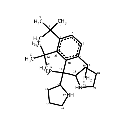 CC(C)(C)c1ccc(CP)c(C(P)(C2CCCN2)C2CCCN2)c1C(C)(C)C